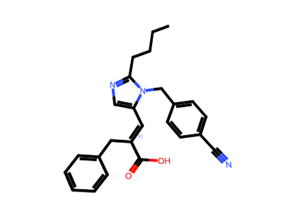 CCCCc1ncc(/C=C(\Cc2ccccc2)C(=O)O)n1Cc1ccc(C#N)cc1